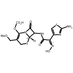 COCC1=C(OC(=O)O)N2C(=O)C(NC(=O)/C(=N\O)c3csc(N)n3)[C@@H]2SC1